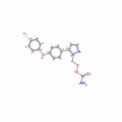 NC(=O)OCCn1nccc1-c1ccc(Oc2ccc(F)cc2)cc1